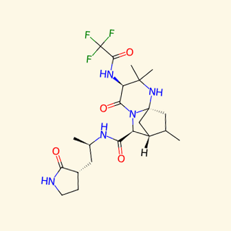 CC1C[C@]23C[C@H]1[C@@H](C(=O)N[C@H](C)C[C@@H]1CCNC1=O)N2C(=O)[C@@H](NC(=O)C(F)(F)F)C(C)(C)N3